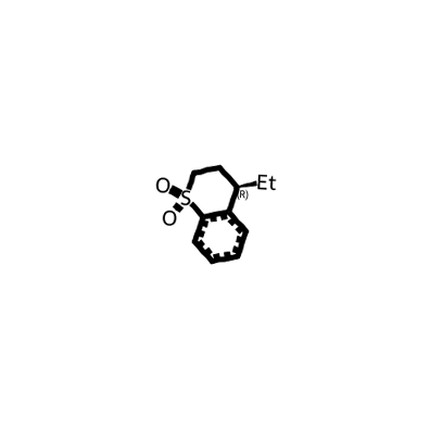 CC[C@@H]1CCS(=O)(=O)c2ccccc21